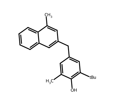 Cc1cc(Cc2cc(C)c3ccccc3c2)cc(C(C)(C)C)c1O